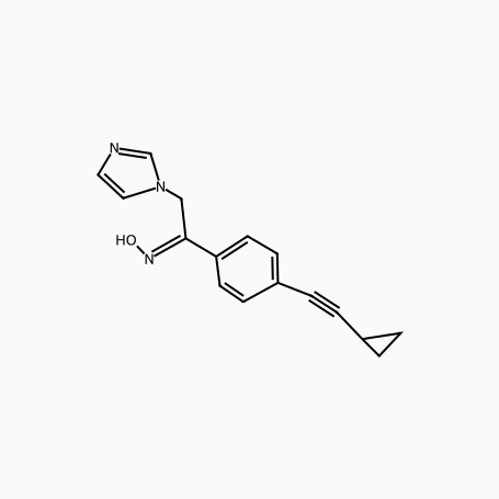 ON=C(Cn1ccnc1)c1ccc(C#CC2CC2)cc1